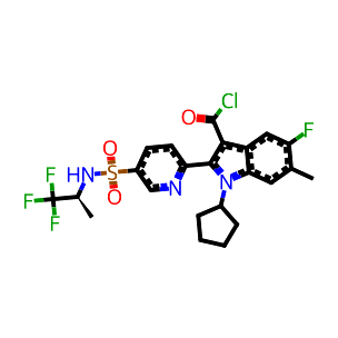 Cc1cc2c(cc1F)c(C(=O)Cl)c(-c1ccc(S(=O)(=O)N[C@@H](C)C(F)(F)F)cn1)n2C1CCCC1